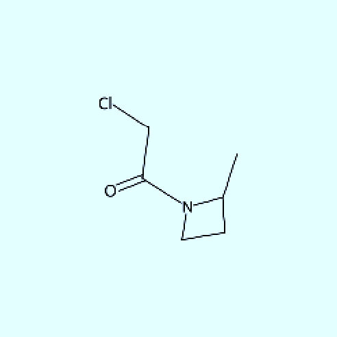 CC1CCN1C(=O)CCl